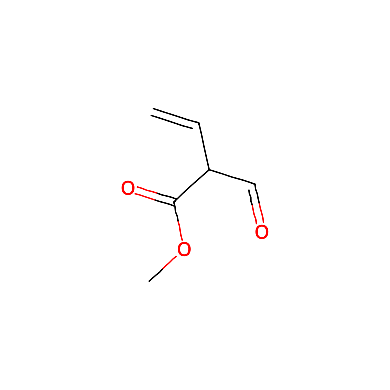 C=CC(C=O)C(=O)OC